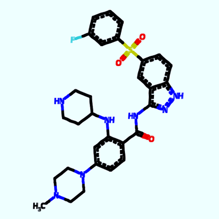 CN1CCN(c2ccc(C(=O)Nc3n[nH]c4ccc(S(=O)(=O)c5cccc(F)c5)cc34)c(NC3CCNCC3)c2)CC1